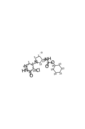 C[C@H]1CN(c2cn[nH]c(=O)c2Cl)C[C@@H]1NC(=O)OC1CCCCC1